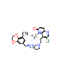 Cn1c(=O)ccc2ncc(Cl)c(CCN3CC[C@H](CNCc4cc(C#N)c5c(c4)OCCO5)C3)c21